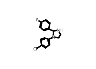 Fc1ccc(C2NCCN2c2ccc(Cl)cc2)cc1